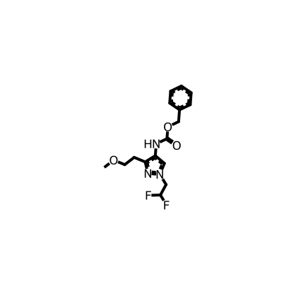 COCCc1nn(CC(F)F)cc1NC(=O)OCc1ccccc1